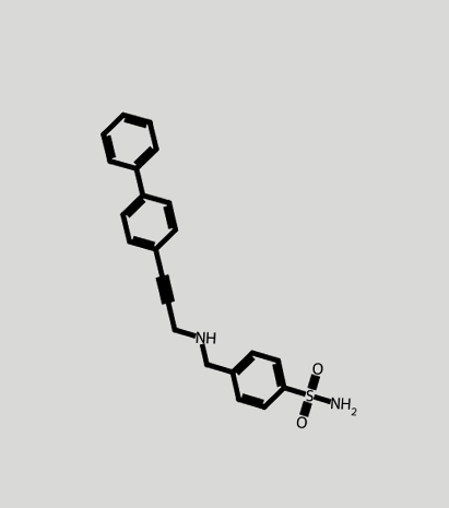 NS(=O)(=O)c1ccc(CNCC#Cc2ccc(-c3ccccc3)cc2)cc1